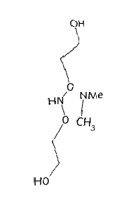 CNC.OCCONOCCO